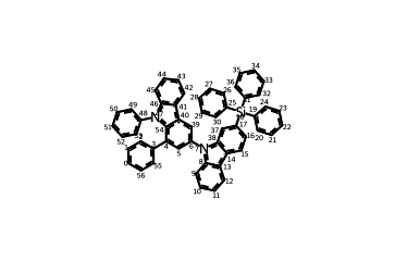 c1ccc(-c2cc(-n3c4ccccc4c4ccc([Si](c5ccccc5)(c5ccccc5)c5ccccc5)cc43)cc3c4ccccc4n(-c4ccccc4)c23)cc1